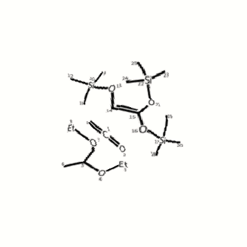 C=C=O.CCOC(C)OCC.C[Si](C)(C)OC=C(O[Si](C)(C)C)O[Si](C)(C)C